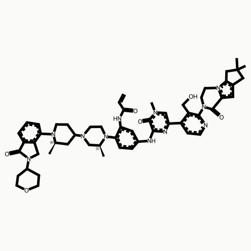 C=CC(=O)Nc1cc(Nc2nc(-c3ccnc(N4CCn5c(cc6c5CC(C)(C)C6)C4=O)c3CO)cn(C)c2=O)ccc1N1CCN(C2CCN(c3cccc4c3CN(C3CCOCC3)C4=O)[C@H](C)C2)C[C@@H]1C